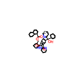 O=C(OCc1ccccc1C(=C1C2C=C(C(O)(c3ccccc3)c3ccccn3)C1C1C(=O)NC(=O)C21)c1ccccn1)c1cccc2ccccc12